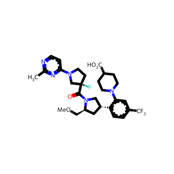 COC[C@@H]1C[C@@H](c2ccc(C(F)(F)F)cc2N2CCC(C(=O)O)CC2)CN1C(=O)[C@@]1(F)CCN(c2ccnc(C)n2)C1